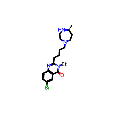 CCn1c(CCCCN2CCN[C@@H](C)CC2)nc2ccc(Br)cc2c1=O